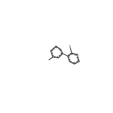 Cc1cccc(-c2cccnc2I)c1